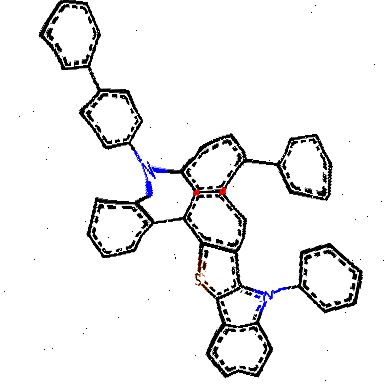 c1ccc(-c2ccc(N(c3ccc(-c4ccccc4)cc3)c3ccccc3-c3cccc4c3sc3c5ccccc5n(-c5ccccc5)c43)cc2)cc1